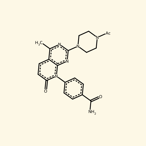 CC(=O)N1CCN(c2nc(C)c3ccc(=O)n(-c4ccc(C(N)=O)cc4)c3n2)CC1